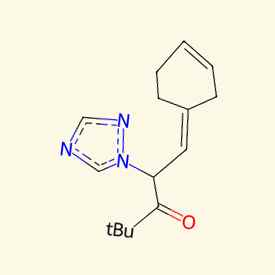 CC(C)(C)C(=O)C(C=C1CC=CCC1)n1cncn1